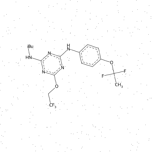 CCC(C)Nc1nc(Nc2ccc(OC(C)(F)F)cc2)nc(OCC(F)(F)F)n1